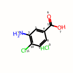 Cl.Nc1cc(C(=O)O)ccc1Cl